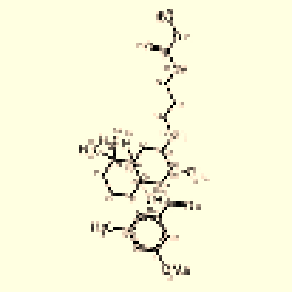 COc1cc(C)cc(C(=O)[C@H]2[C@@H](C)C(NCCCNC(=O)OC(C)(C)C)C[C@H]3C(C)(C)CCC[C@]23C)c1